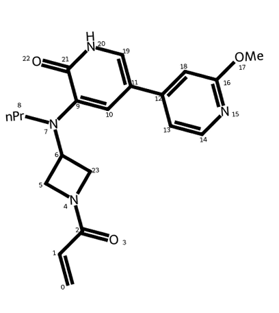 C=CC(=O)N1CC(N(CCC)c2cc(-c3ccnc(OC)c3)c[nH]c2=O)C1